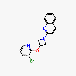 Brc1cccnc1OC1CN(c2ccc3ccccc3n2)C1